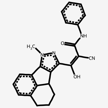 Cn1nc(C(O)=C(C#N)C(=O)Nc2ccccc2)c2c1-c1cccc3c1C2CCC3